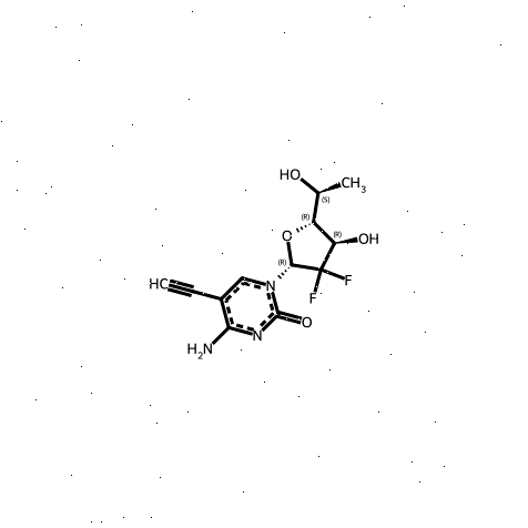 C#Cc1cn([C@@H]2O[C@H]([C@H](C)O)[C@@H](O)C2(F)F)c(=O)nc1N